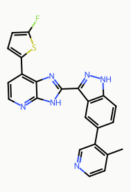 Cc1ccncc1-c1ccc2[nH]nc(-c3nc4c(-c5ccc(F)s5)ccnc4[nH]3)c2c1